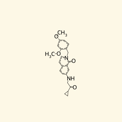 COc1ccc(Cn2ccc3ccc(NCC(=O)C4CC4)cc3c2=O)c(OC)c1